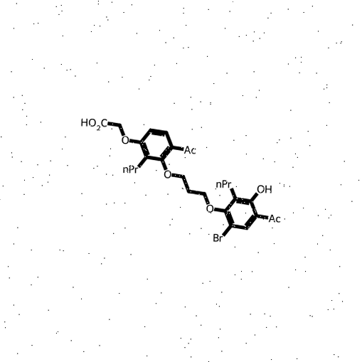 CCCc1c(O)c(C(C)=O)cc(Br)c1OCCCOc1c(C(C)=O)ccc(OCC(=O)O)c1CCC